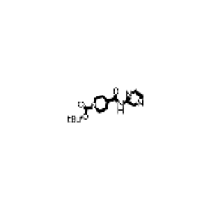 CC(C)(C)OC(=O)N1CCC(C(=O)Nc2cnccn2)CC1